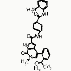 CC(C)c1ccccc1-c1cn(C)c(=O)c2[nH]c(C(=O)Nc3ccc(C(=O)Nc4ccccc4N)cc3)cc12